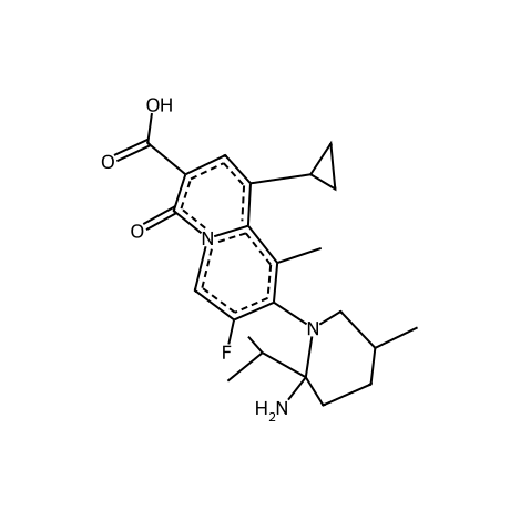 Cc1c(N2CC(C)CCC2(N)C(C)C)c(F)cn2c(=O)c(C(=O)O)cc(C3CC3)c12